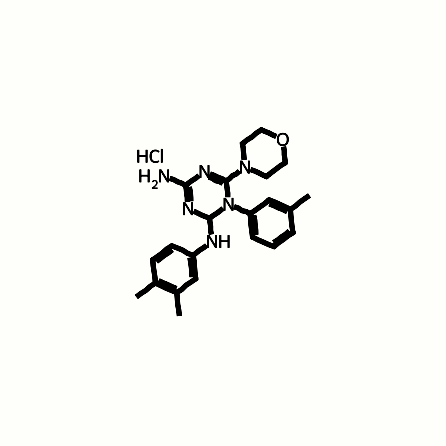 Cc1cccc(N2C(N3CCOCC3)=NC(N)=NC2Nc2ccc(C)c(C)c2)c1.Cl